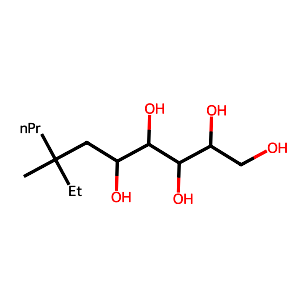 CCCC(C)(CC)CC(O)C(O)C(O)C(O)CO